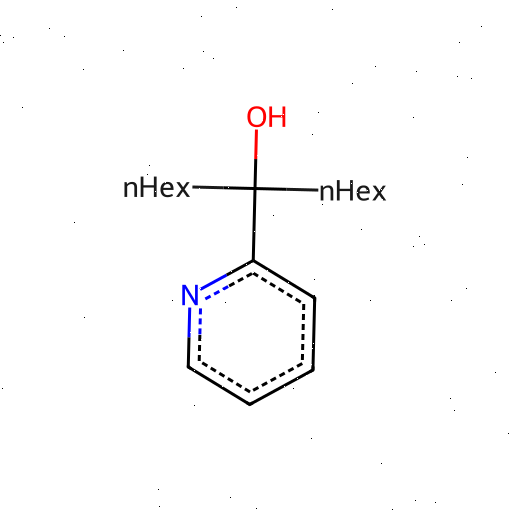 CCCCCCC(O)(CCCCCC)c1ccccn1